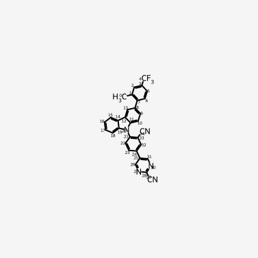 Cc1cc(C(F)(F)F)ccc1-c1ccc2c(c1)c1ccccc1n2-c1ccc(-c2cnc(C#N)nc2)cc1C#N